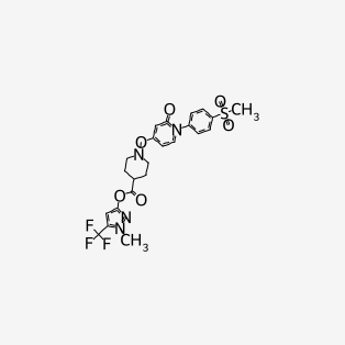 Cn1nc(OC(=O)C2CCN(Oc3ccn(-c4ccc(S(C)(=O)=O)cc4)c(=O)c3)CC2)cc1C(F)(F)F